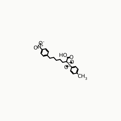 Cc1ccc(S(=O)(=O)C(CCCCCc2ccc([N+](=O)[O-])cc2)C(=O)O)cc1